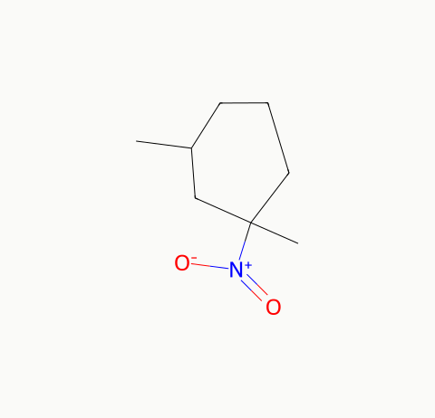 CC1CCCC(C)([N+](=O)[O-])C1